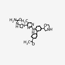 CC(=O)c1ccc(-c2cc(C3CNCCO3)ccc2Nc2ncc(C)c(N3CCC(NC(N)=O)C3)n2)cc1